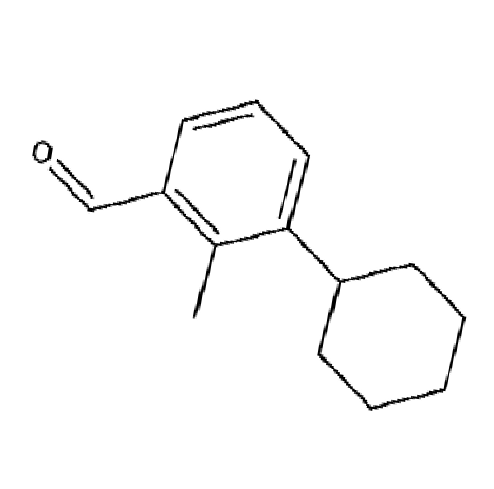 Cc1c(C=O)cccc1C1CCCCC1